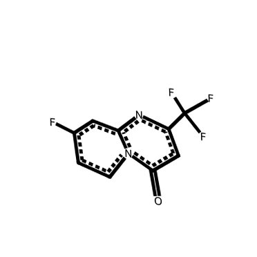 O=c1cc(C(F)(F)F)nc2cc(F)ccn12